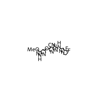 COc1n[nH]c2ncc(Oc3cnc4nc(Nc5cc6n(n5)CCCC6(F)F)n(C)c4c3C#N)cc12